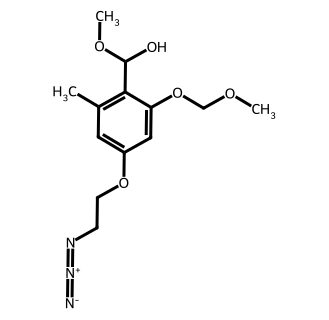 COCOc1cc(OCCN=[N+]=[N-])cc(C)c1C(O)OC